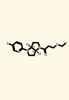 O=C(CCOCI)N1CC[C@@H]2[C@H]1CCN2c1ccc(F)cn1